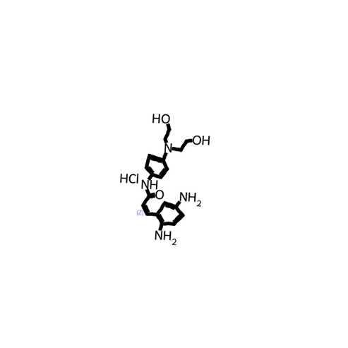 Cl.Nc1ccc(N)c(/C=C\C(=O)Nc2ccc(N(CCO)CCO)cc2)c1